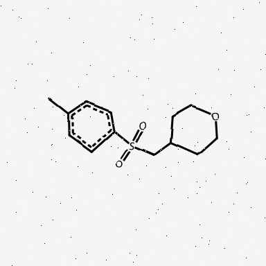 Cc1ccc(S(=O)(=O)CC2CCOCC2)cc1